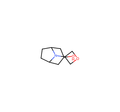 OC1CC2CCC(C1)N2C1COC1